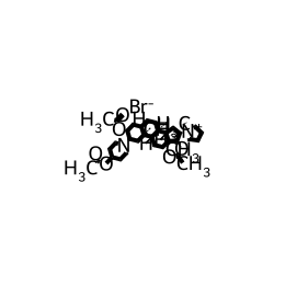 CC(=O)OC1CCN([C@H]2C[C@@]3(C)[C@@H](CC[C@@H]4[C@@H]3CC[C@@]3(C)[C@H]4C[C@H]([N+]4(C)CCCC4)[C@@H]3OC(C)=O)C[C@@H]2OC(C)=O)CC1.[Br-]